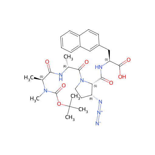 C[C@@H](NC(=O)[C@H](C)N(C)C(=O)OC(C)(C)C)C(=O)N1CC[C@@H](N=[N+]=[N-])[C@H]1C(=O)N[C@@H](Cc1ccc2ccccc2c1)C(=O)O